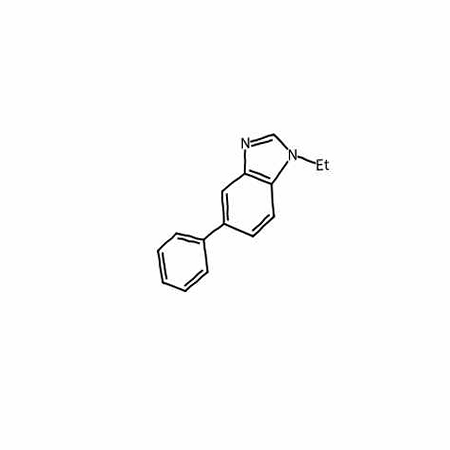 CCn1cnc2cc(-c3ccccc3)ccc21